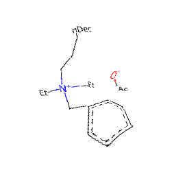 CC(=O)[O-].CCCCCCCCCCCC[N+](CC)(CC)Cc1ccccc1